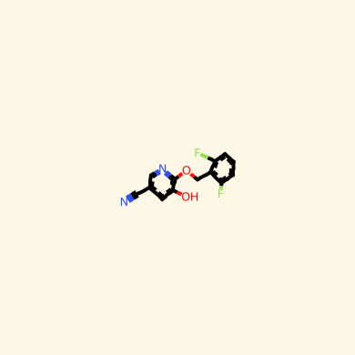 N#Cc1cnc(OCc2c(F)cccc2F)c(O)c1